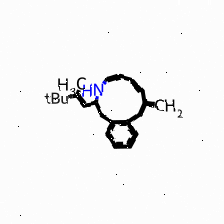 C=C1/C=C\C=C/NC(/C=C(\C)C(C)(C)C)Cc2ccccc2C1